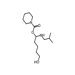 CC(C)CNC(CCCCO)OC(=O)N1CCCCC1